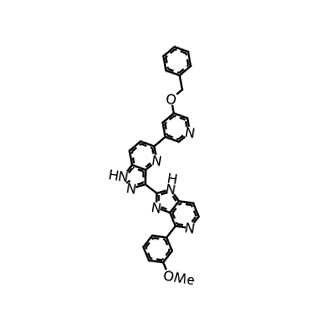 COc1cccc(-c2nccc3[nH]c(-c4n[nH]c5ccc(-c6cncc(OCc7ccccc7)c6)nc45)nc23)c1